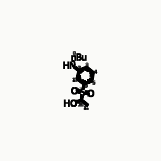 CCCCNc1cccc(S(=O)(=O)C(C)O)c1